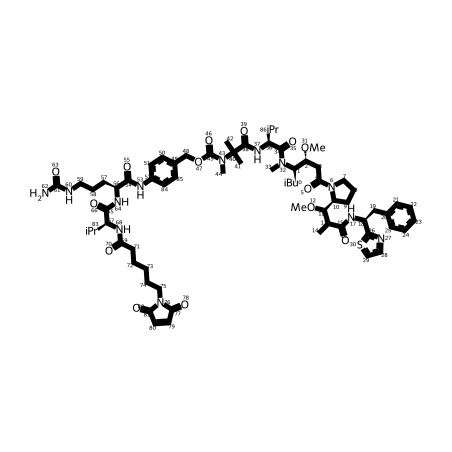 CC[C@H](C)C([C@@H](CC(=O)N1CCC[C@H]1C(OC)C(C)C(=O)N[C@@H](Cc1ccccc1)c1nccs1)OC)N(C)C(=O)[C@@H](NC(=O)C(C)(C)N(C)C(=O)OCc1ccc(NC(=O)[C@H](CCCNC(N)=O)NC(=O)[C@@H](NC(=O)CCCCCN2C(=O)C=CC2=O)C(C)C)cc1)C(C)C